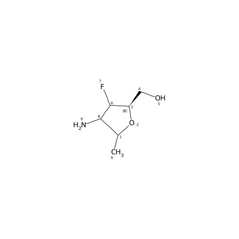 CC1O[C@H](CO)C(F)C1N